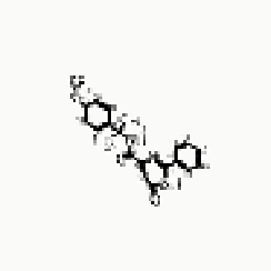 CC(C)(NC(=O)c1cc(=O)[nH]c(-c2ccccc2)n1)c1ccc(OC(F)(F)F)cc1